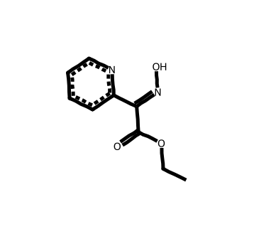 CCOC(=O)/C(=N/O)c1ccccn1